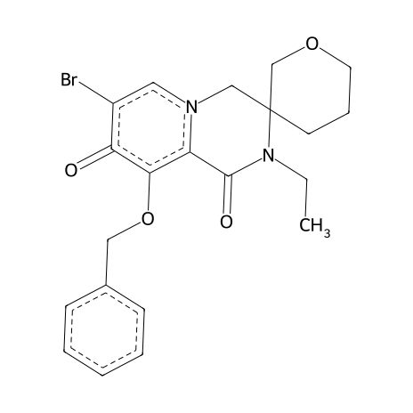 CCN1C(=O)c2c(OCc3ccccc3)c(=O)c(Br)cn2CC12CCCOC2